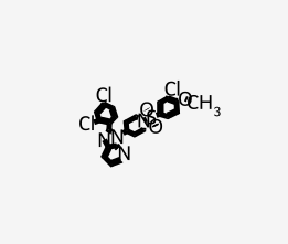 COc1ccc(S(=O)(=O)N2CCC(n3c(-c4ccc(Cl)cc4Cl)nc4cccnc43)CC2)cc1Cl